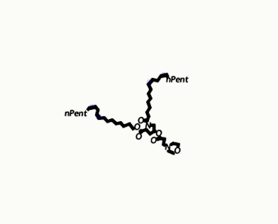 CCCCC/C=C\C/C=C\CCCCCCCCOC(=O)C1CC(OC(=O)CCN2CCOCC2)CN1C(=O)CCCCCCC/C=C\C/C=C\CCCCC